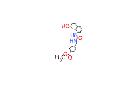 COC(=O)c1ccc(CNC(=O)Nc2cccc3c2CC(O)CC3)cc1